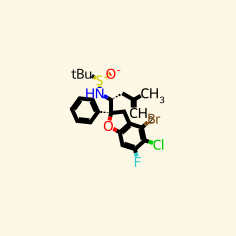 C=C(C)C[C@@H](N[S+]([O-])C(C)(C)C)[C@@]1(c2ccccc2)Cc2c(cc(F)c(Cl)c2Br)O1